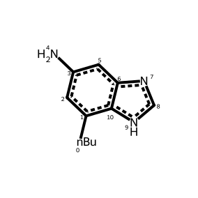 CCCCc1cc(N)cc2nc[nH]c12